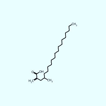 C=C(CC(C)CCCCCCCCCCCCCCCC)C(=O)O